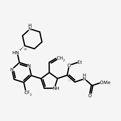 C=CC1C(c2nc(N[C@H]3CCCNC3)ncc2C(F)(F)F)=CNC1/C(=C/NC(=O)OC)OCC